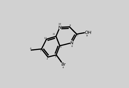 Cc1cc(Br)c2nc(O)cnc2c1